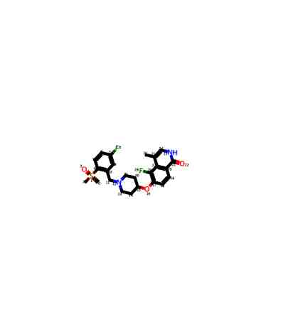 C=S(C)(=O)c1ccc(F)cc1CN1CCC(Oc2ccc3c(=O)[nH]cc(C)c3c2F)CC1